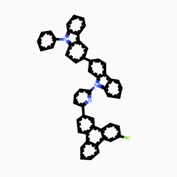 Fc1ccc2c(c1)c1ccccc1c1ccc(-c3cccc(-n4c5ccccc5c5ccc(-c6ccc7c(c6)c6ccccc6n7-c6ccccc6)cc54)n3)cc12